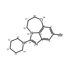 Brc1cc2c3c(c1)nc(N1CCCCC1)n3CCCO2